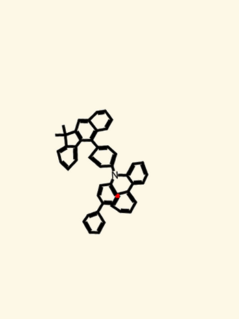 CC1(C)c2ccccc2-c2c1cc1ccccc1c2-c1ccc(N(c2ccc(-c3ccccc3)cc2)c2ccccc2-c2ccccc2)cc1